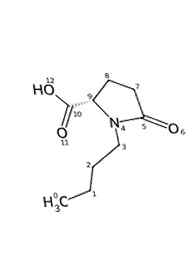 CCCCN1C(=O)CC[C@H]1C(=O)O